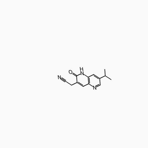 CC(C)c1cnc2cc(CC#N)c(=O)[nH]c2c1